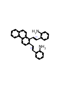 Nc1ccccc1/C=C/c1ccc2c(ccc3ccccc32)c1/C=C/c1ccccc1N